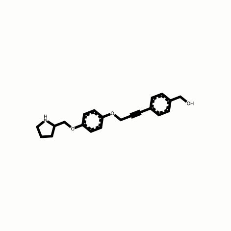 OCc1ccc(C#CCOc2ccc(OCC3CCCN3)cc2)cc1